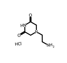 Cl.NCCN1CC(=O)NC(=O)C1